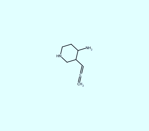 C=C=CC1CNCCC1N